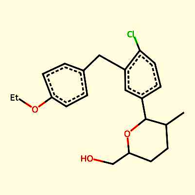 CCOc1ccc(Cc2cc(C3OC(CO)CCC3C)ccc2Cl)cc1